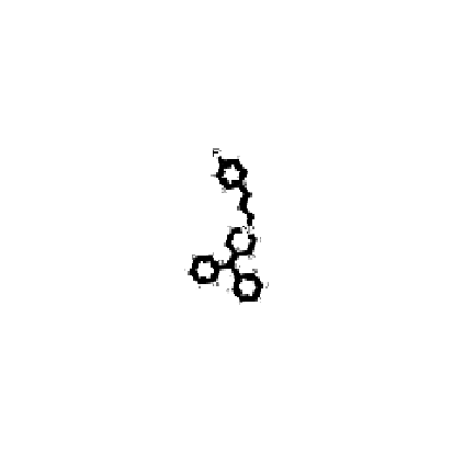 Fc1ccc(C=CCN2CCC(=C(c3ccccc3)c3ccccc3)CC2)cc1